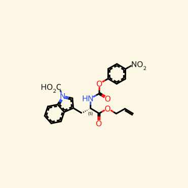 C=CCOC(=O)[C@H](Cc1cn(C(=O)O)c2ccccc12)NC(=O)Oc1ccc([N+](=O)[O-])cc1